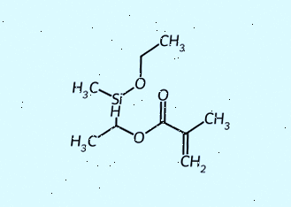 C=C(C)C(=O)OC(C)[SiH](C)OCC